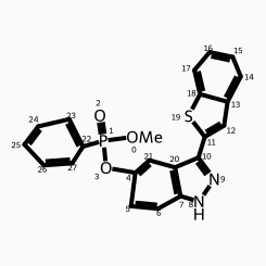 COP(=O)(Oc1ccc2[nH]nc(-c3cc4ccccc4s3)c2c1)c1ccccc1